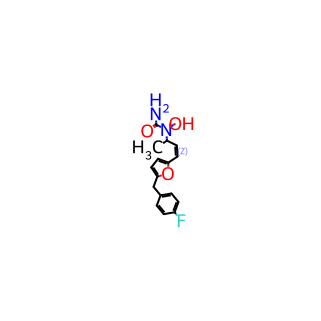 CC(/C=C\c1ccc(Cc2ccc(F)cc2)o1)N(O)C(N)=O